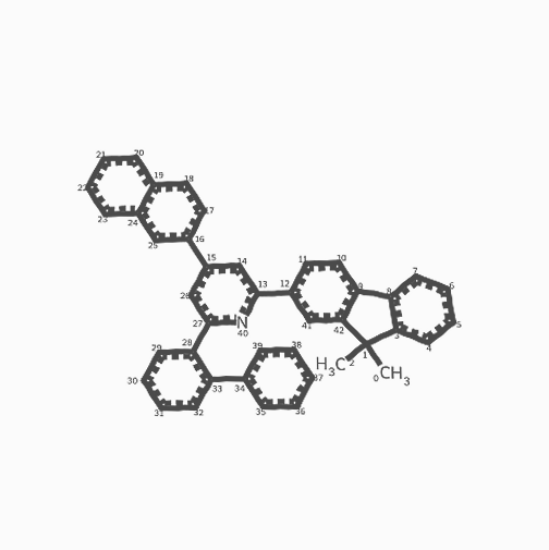 CC1(C)c2ccccc2-c2ccc(-c3cc(-c4ccc5ccccc5c4)cc(-c4ccccc4-c4ccccc4)n3)cc21